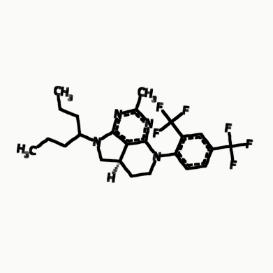 CCCC(CCC)N1C[C@@H]2CCN(c3ccc(C(F)(F)F)cc3C(F)(F)F)c3nc(C)nc1c32